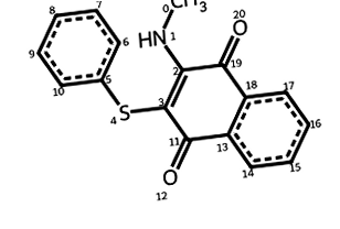 CNC1=C(Sc2ccccc2)C(=O)c2ccccc2C1=O